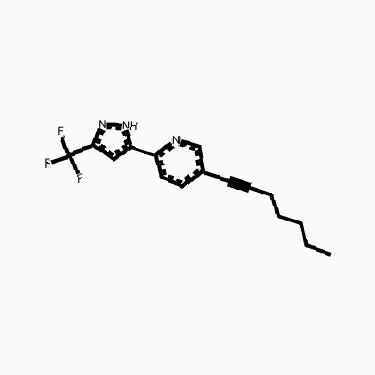 CCCCCC#Cc1ccc(-c2cc(C(F)(F)F)n[nH]2)nc1